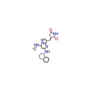 O=C1CC(=Cc2cnn3c(NC4CC4)cc(NC4CCCc5ccccc54)nc23)C(=O)N1